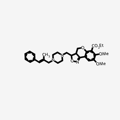 CCOC(=O)c1c(OC)c(OC)cc2c1OCC1C2=NOC1CN1CCN(C/C(C)=C/c2ccccc2)CC1